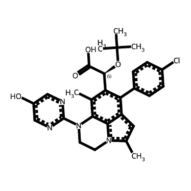 Cc1c([C@H](OC(C)(C)C)C(=O)O)c(-c2ccc(Cl)cc2)c2cc(C)n3c2c1N(c1ncc(O)cn1)CC3